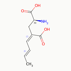 C/C=C/C=C(/C[C@H](N)C(=O)O)C(=O)O